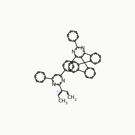 C=C/C(=C\C)c1nc(-c2ccccc2)cc(-c2ccc(-c3nc(-c4ccccc4)nc4c3C3(c5ccccc5-c5ccccc53)c3ccccc3-4)cc2)n1